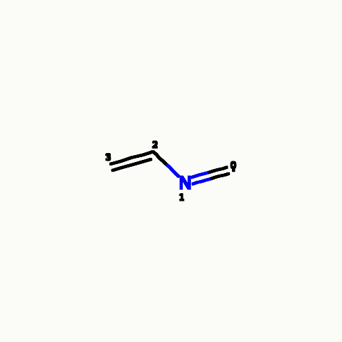 [CH]=NC=C